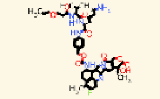 CCCOCCC(=O)N[C@H](C(=O)N[C@@H](CCCCN)C(=O)Nc1ccc(COC(=O)N[C@H]2CCc3c(C)c(F)cc4nc5c(c2c34)Cn2c-5cc3c(c2=O)COC(=O)[C@]3(O)CC)cc1)C(C)C